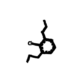 CCCc1[c]ccc(CCC)c1Cl